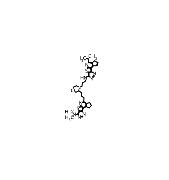 CC(C)c1nc2sc3c(NCCCN4CCOCC4CCCc4nc5sc6c(N(C)C)ncnc6c5c5c4CCC5)ncnc3c2c2c1CCC2